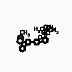 CC1CC2CCC3(c4ccccc4-c4cc(-c5ccc6c(c5)oc5c(B7OC(C)(C)C(C)(C)O7)cccc56)ccc43)C(C1)C2